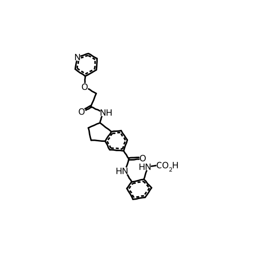 O=C(O)Nc1ccccc1NC(=O)c1ccc2c(c1)CCC2NC(=O)COc1cccnc1